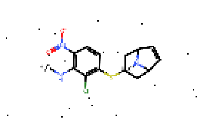 CNc1c([N+](=O)[O-])ccc(SC2CC3C=CC(C2)N3C)c1Cl